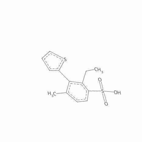 CCc1c(S(=O)(=O)O)ccc(C)c1-c1cccs1